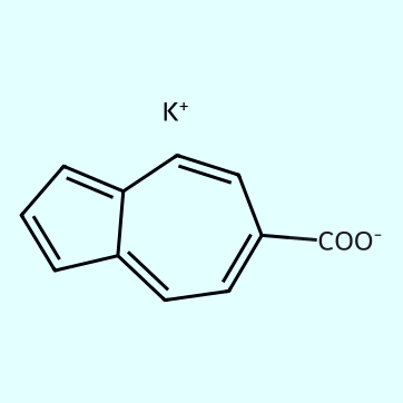 O=C([O-])c1ccc2cccc-2cc1.[K+]